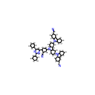 N#Cc1ccc2c(c1)c1ccccc1n2-c1ccc2c(c1)c1cc(-n3c4ccccc4c4cc(C#N)ccc43)ccc1n2-c1ccc(-c2cc(-c3ccccc3)nc(-c3ccccc3)n2)c(C#N)c1